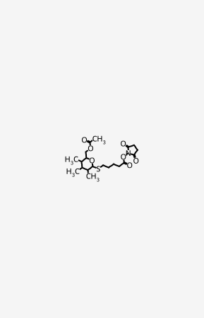 CC(=O)OCC1OC(SCCCCC(=O)ON2C(=O)CCC2=O)C(C)C(C)C1C